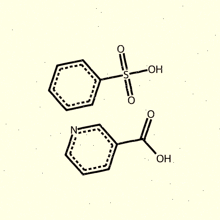 O=C(O)c1cccnc1.O=S(=O)(O)c1ccccc1